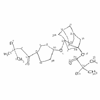 CCC(C)(C)CC(=O)C1CCC(OC23CC4CC(CC(OC(=O)C(C)(C)CC)(C4)C2)C3)CC1